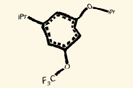 CC(C)Oc1cc(OC(F)(F)F)cc(C(C)C)c1